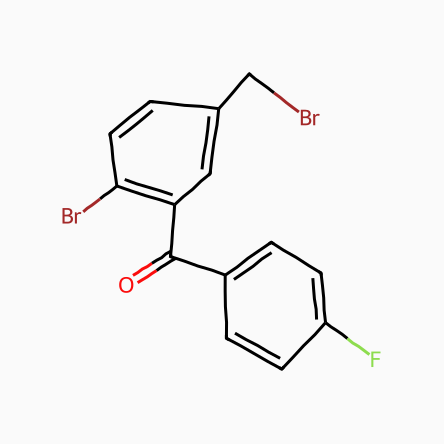 O=C(c1ccc(F)cc1)c1cc(CBr)ccc1Br